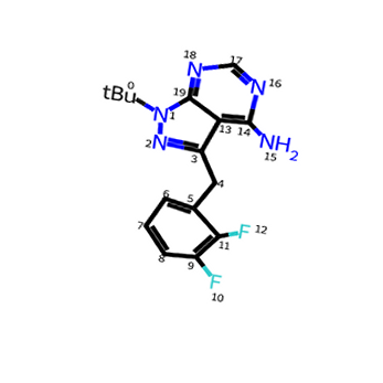 CC(C)(C)n1nc(Cc2cccc(F)c2F)c2c(N)ncnc21